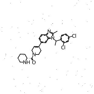 Cc1nc2ccc(C3=CCN(C(=O)[C@H]4CCCCN4)CC3)cc2n1C(C)c1ccc(Cl)cc1Cl